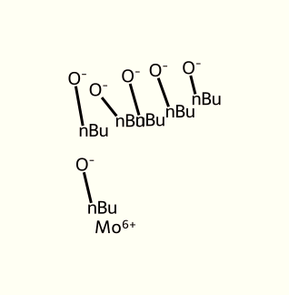 CCCC[O-].CCCC[O-].CCCC[O-].CCCC[O-].CCCC[O-].CCCC[O-].[Mo+6]